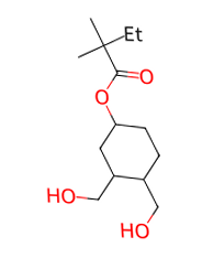 CCC(C)(C)C(=O)OC1CCC(CO)C(CO)C1